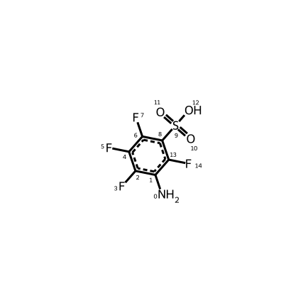 Nc1c(F)c(F)c(F)c(S(=O)(=O)O)c1F